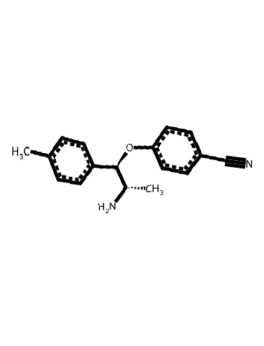 Cc1ccc([C@@H](Oc2ccc(C#N)cc2)[C@H](C)N)cc1